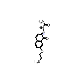 BCCOc1ccc2c(c1)C(=O)/C(=N/NC(N)=O)C=C2